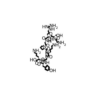 N=C(N)NCCC[C@H](NC(=O)[C@H](CO)NC(=O)CN)C(=O)NCC(=O)N1CCC[C@H]1C(=O)N[C@@H](CCCCN)C(=O)NCC(=O)N[C@@H](Cc1ccc(O)cc1)C(=O)N[C@@H](CCCCN)C(=O)O